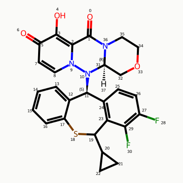 O=C1c2c(O)c(=O)ccn2N([C@@H]2c3ccccc3SC(C3CC3)c3c2ccc(F)c3F)[C@@H]2COCCN12